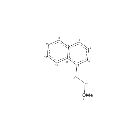 COCCc1cccc2ccccc12